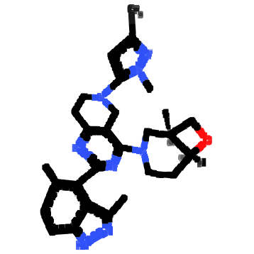 Cc1ccc2[nH]nc(C)c2c1-c1nc2c(c(N3CC[C@@H]4OC[C@]4(C)C3)n1)CN(c1cc(C(F)(F)F)nn1C)CC2